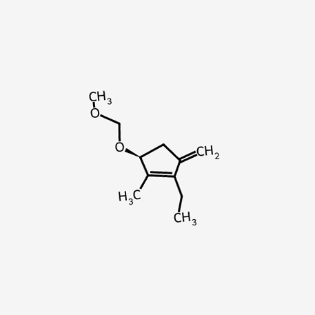 C=C1C[C@H](OCOC)C(C)=C1CC